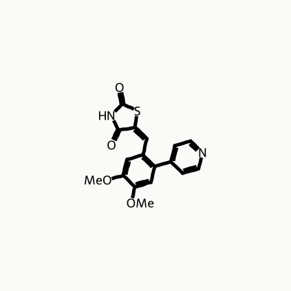 COc1cc(C=C2SC(=O)NC2=O)c(-c2ccncc2)cc1OC